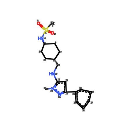 CCS(=O)(=O)N[C@H]1CC[C@H](CNc2cc(-c3ccccc3)nn2C)CC1